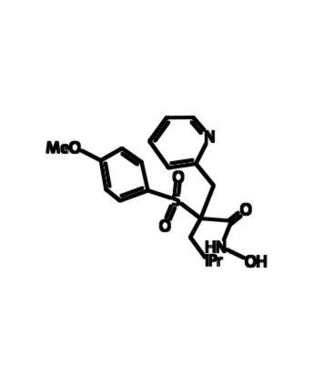 COc1ccc(S(=O)(=O)C(Cc2ccccn2)(CC(C)C)C(=O)NO)cc1